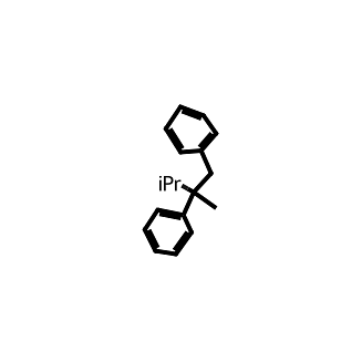 CC(C)C(C)(Cc1ccccc1)c1ccccc1